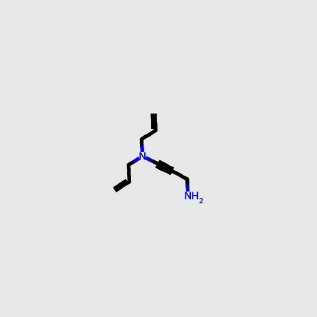 C=CCN(C#CCN)CC=C